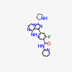 Nc1nccn2c([C@@H]3CCCN3)nc(-c3ccc(C(=O)Nc4ccccn4)c(F)c3)c12